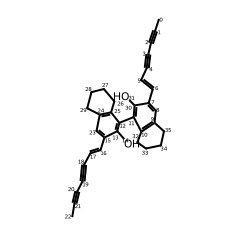 CC#CC#C/C=C/c1cc2c(c(-c3c(O)c(/C=C/C#CC#CC)cc4c3CCCC4)c1O)CCCC2